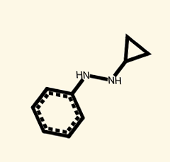 c1ccc(NNC2CC2)cc1